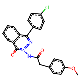 COc1ccc(CC(=O)Nn2nc(-c3ccc(Cl)cc3)c3ccccc3c2=O)cc1